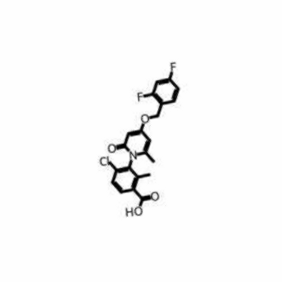 Cc1c(C(=O)O)ccc(Cl)c1-n1c(C)cc(OCc2ccc(F)cc2F)cc1=O